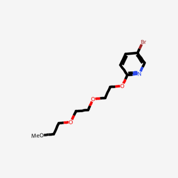 COCCOCCOCCOc1ccc(Br)cn1